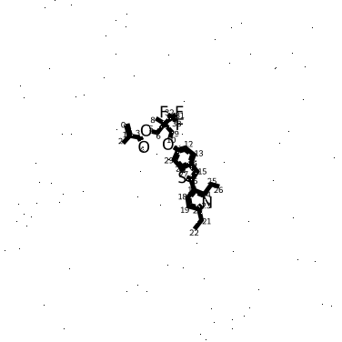 C=C(C)C(=O)OCC(C)(COc1ccc2cc(-c3ccc(CC)nc3CC)sc2c1)C(F)(F)F